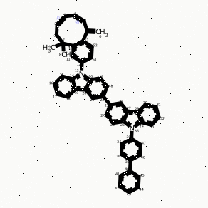 C=C1/C=C\C=C/CC(C)(C)c2cc(-n3c4ccccc4c4cc(-c5ccc6c(c5)c5ccccc5n6-c5ccc(-c6ccccc6)cc5)ccc43)ccc21